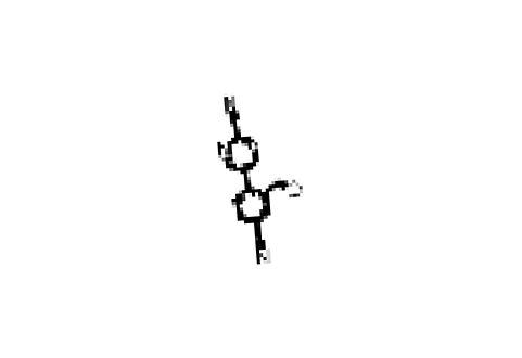 N#Cc1ccc(-c2cnc(C#N)nc2)c(C=O)c1